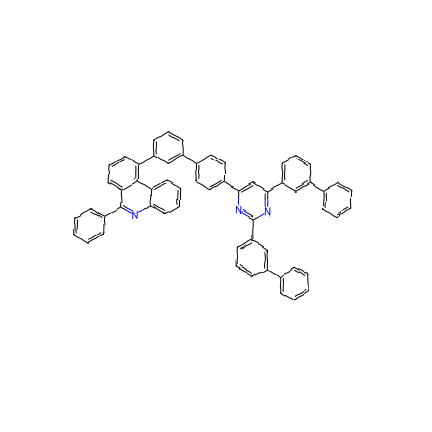 c1ccc(-c2cccc(-c3cc(-c4ccc(-c5cccc(-c6cccc7c(-c8ccccc8)nc8ccccc8c67)c5)cc4)nc(-c4cccc(-c5ccccc5)c4)n3)c2)cc1